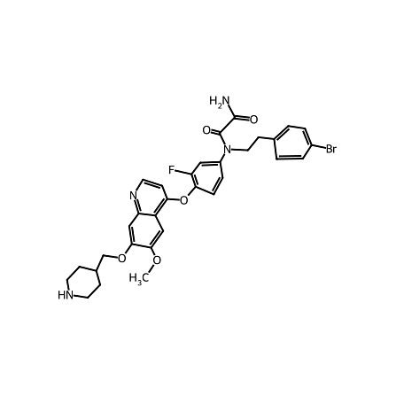 COc1cc2c(Oc3ccc(N(CCc4ccc(Br)cc4)C(=O)C(N)=O)cc3F)ccnc2cc1OCC1CCNCC1